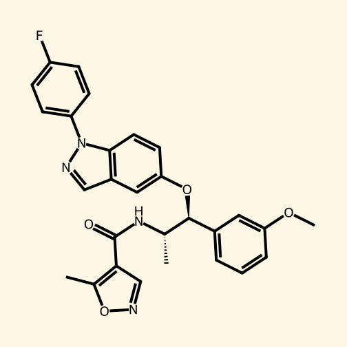 COc1cccc([C@H](Oc2ccc3c(cnn3-c3ccc(F)cc3)c2)[C@H](C)NC(=O)c2cnoc2C)c1